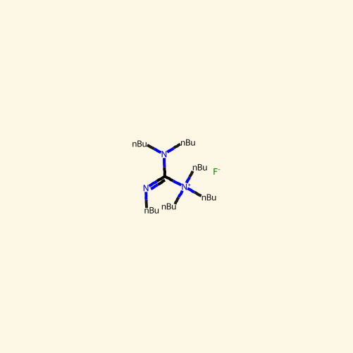 CCCCN=C(N(CCCC)CCCC)[N+](CCCC)(CCCC)CCCC.[F-]